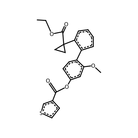 CCOC(=O)C1(c2ccccc2-c2ccc(OC(=O)c3ccsc3)cc2OC)CC1